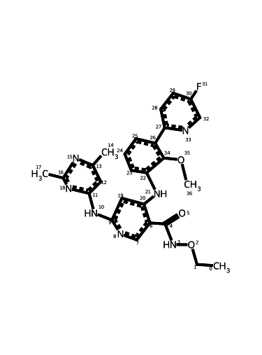 CCONC(=O)c1cnc(Nc2cc(C)nc(C)n2)cc1Nc1cccc(-c2ccc(F)cn2)c1OC